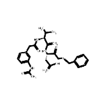 C=C(O)C[C@H](NC(=C)[C@@H](NC(=O)Cc1cccc(NC(C)=O)c1)C(C)C)C(=O)CSCc1ccccc1